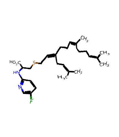 CC(C)=CCCC(C)=CCCC(=CCSCC(Nc1ccc(F)cn1)C(=O)O)CC=C(C)C